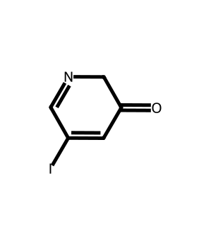 O=C1C=C(I)C=NC1